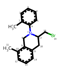 Cc1ccccc1N1Cc2c(C)cccc2CC1CBr